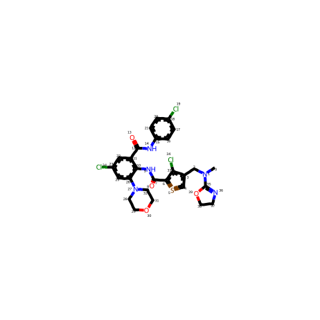 CN(Cc1csc(C(=O)Nc2c(C(=O)Nc3ccc(Cl)cc3)cc(Cl)cc2N2CCOCC2)c1Cl)C1=NCCO1